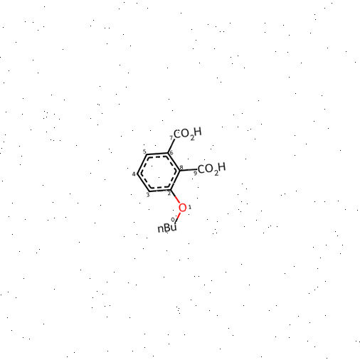 CCCCOc1cccc(C(=O)O)c1C(=O)O